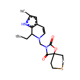 CC(C)(C)CC1c2[nH]c(C#N)cc2C=CN1CN1C(=O)OC2(CCSCC2)C1=O